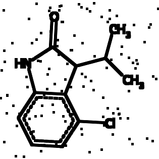 CC(C)C1C(=O)Nc2cccc(Cl)c21